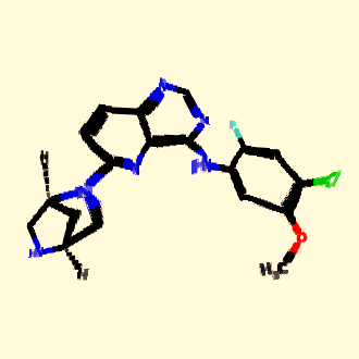 COc1cc(Nc2ncnc3ccc(N4C[C@@H]5C[C@H]4CN5)nc23)c(F)cc1Cl